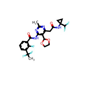 Cc1nc(CC(=O)NC2(C(F)F)CC2)c(C2OCCO2)c(NC(=O)c2cccc(C(C)(F)F)c2F)n1